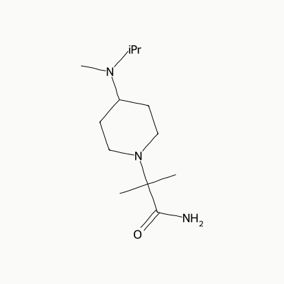 CC(C)N(C)C1CCN(C(C)(C)C(N)=O)CC1